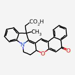 CC1(CC(=O)O)C2=C3C=C4C(=CC(=O)c5ccccc54)OC3CCN2c2ccccc21